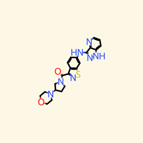 O=C(c1nsc2cc(Nc3n[nH]c4cccnc34)ccc12)N1CCC(N2CCOCC2)C1